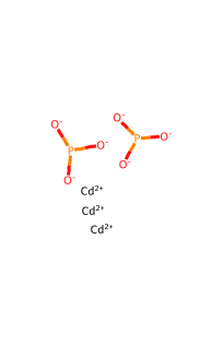 [Cd+2].[Cd+2].[Cd+2].[O-]P([O-])[O-].[O-]P([O-])[O-]